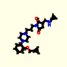 O=C1CC(CNC2CC2)C(=O)N1CCCN1CCN(c2ccccc2OCC2CC2)CC1